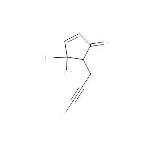 CCC#CCC1C(=O)C=CC1(C)OC(C)=O